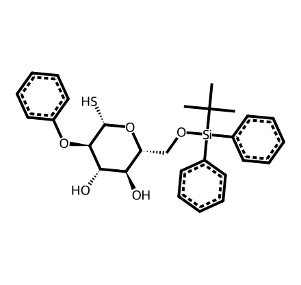 CC(C)(C)[Si](OC[C@H]1O[C@@H](S)[C@H](Oc2ccccc2)[C@@H](O)[C@@H]1O)(c1ccccc1)c1ccccc1